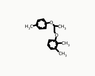 Cc1ccc(OC(C)COc2cccc(C)c2C)cc1